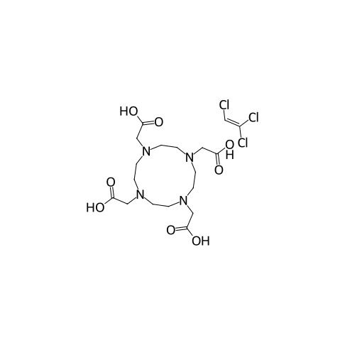 ClC=C(Cl)Cl.O=C(O)CN1CCN(CC(=O)O)CCN(CC(=O)O)CCN(CC(=O)O)CC1